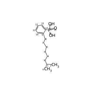 CC(C)CCCCCCc1ccccc1P(=O)(O)O